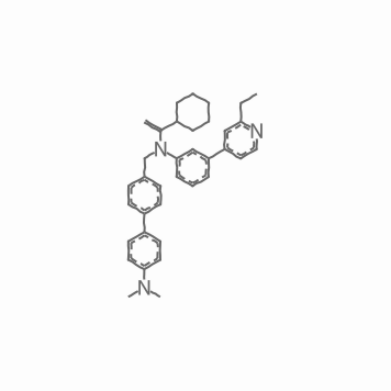 C=C(C1CCCCC1)N(Cc1ccc(-c2ccc(N(C)C)cc2)cc1)c1cccc(-c2ccnc(CC)c2)c1